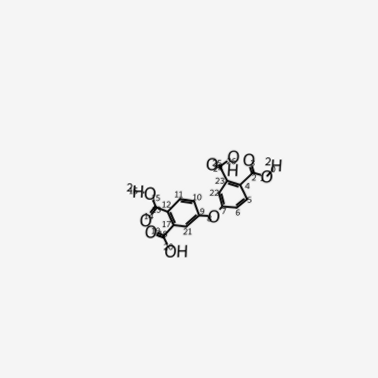 [2H]OC(=O)c1ccc(Oc2ccc(C(=O)O[2H])c(C(=O)O)c2)cc1C(=O)O